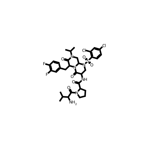 CC(C)C(N)C(=O)N1CCCC1C(=O)NC1CN(S(=O)(=O)c2ccc(Cl)cc2Cl)C2CN(C(C)C)C(=O)C(Cc3ccc(F)c(F)c3)N2C1=O